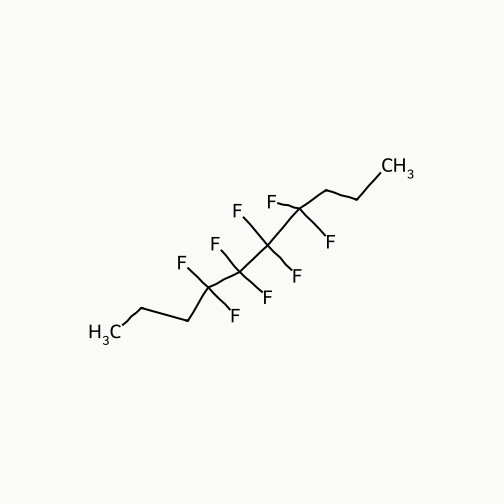 CCCC(F)(F)C(F)(F)C(F)(F)C(F)(F)CCC